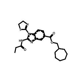 CCC(=O)Nc1nc2cc(C(=O)OCC3CCCCCC3)ccc2n1C1=NCCS1